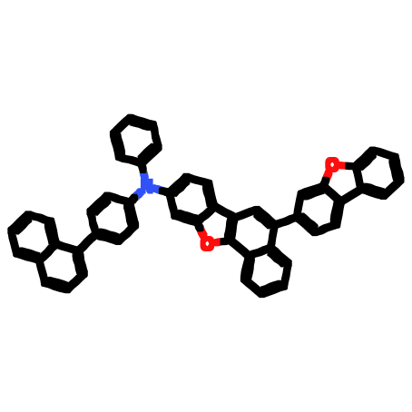 c1ccc(N(c2ccc(-c3cccc4ccccc34)cc2)c2ccc3c(c2)oc2c4ccccc4c(-c4ccc5c(c4)oc4ccccc45)cc32)cc1